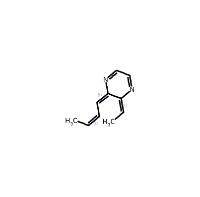 C\C=C/C=c1/nccn/c1=C/C